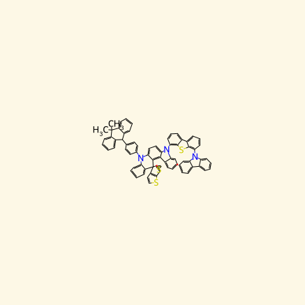 CC1(C)c2ccccc2C(c2ccc(N3c4ccccc4C4(c5ccsc5-c5sccc54)c4c3ccc3c4c4ccccc4n3-c3cccc4c3sc3c(-n5c6ccccc6c6ccccc65)cccc34)cc2)c2ccccc21